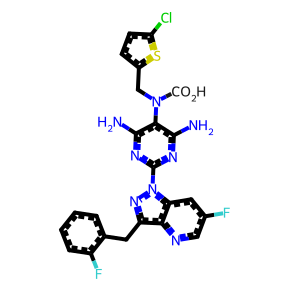 Nc1nc(-n2nc(Cc3ccccc3F)c3ncc(F)cc32)nc(N)c1N(Cc1ccc(Cl)s1)C(=O)O